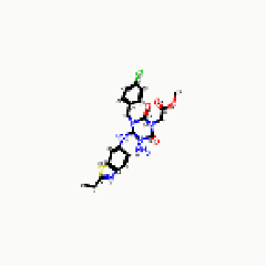 CCc1nc2ccc(NC3N(N)C(=O)N(CC(=O)OC)C(=O)N3Cc3ccc(Cl)cc3)cc2s1